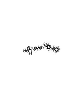 CN(CCOCCOCCNC(=O)O)c1ccc(-c2nc3ccccc3s2)cc1